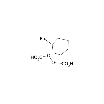 CC(C)(C)C1CCCCC1.O=C(O)OOC(=O)O